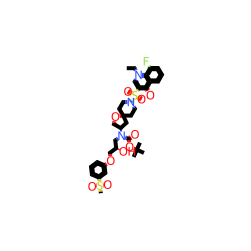 CCn1cc(S(=O)(=O)N2CCC3(CC2)C[C@@H](N(C[C@H](O)COc2cccc(S(C)(=O)=O)c2)C(=O)OC(C)(C)C)CO3)c(=O)c2cccc(F)c21